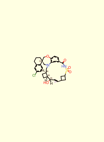 O=C1NS(=O)(=O)C2CC(/C=C/[C@H](O)[C@@H]3CC[C@H]3CN3C[C@@]4(CCCc5cc(Cl)ccc54)COc4ccc1cc43)C2